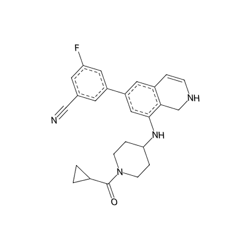 N#Cc1cc(F)cc(-c2cc3c(c(NC4CCN(C(=O)C5CC5)CC4)c2)CNC=C3)c1